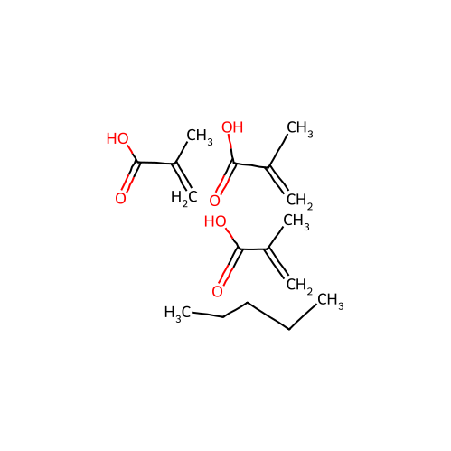 C=C(C)C(=O)O.C=C(C)C(=O)O.C=C(C)C(=O)O.CCCCC